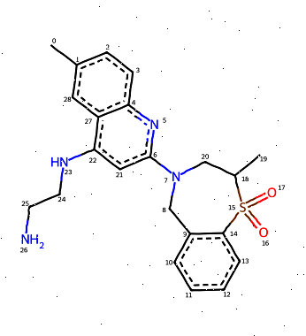 Cc1ccc2nc(N3Cc4ccccc4S(=O)(=O)C(C)C3)cc(NCCN)c2c1